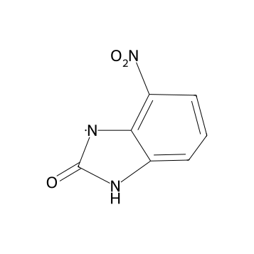 O=C1[N]c2c(cccc2[N+](=O)[O-])N1